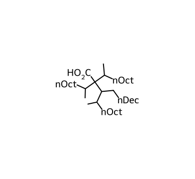 CCCCCCCCCCCC(C(C)CCCCCCCC)C(C(=O)O)(C(C)CCCCCCCC)C(C)CCCCCCCC